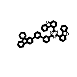 c1cc(-c2cccc(-c3nc(-c4cccc5oc6ccccc6c45)nc(-c4cccc5oc6ccccc6c45)n3)c2)cc(-c2ccc3c(c2)C2(CCCCC2)c2ccccc2-3)c1